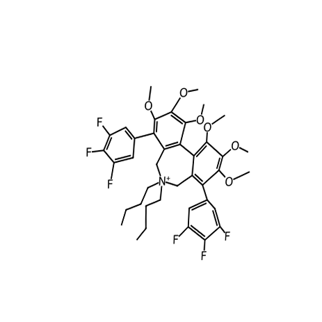 CCCC[N+]1(CCCC)Cc2c(-c3cc(F)c(F)c(F)c3)c(OC)c(OC)c(OC)c2-c2c(c(-c3cc(F)c(F)c(F)c3)c(OC)c(OC)c2OC)C1